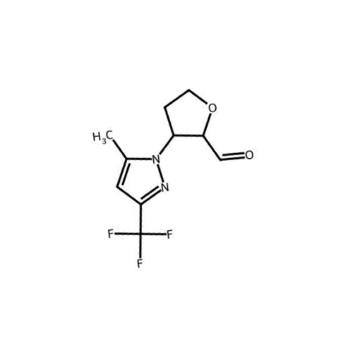 Cc1cc(C(F)(F)F)nn1C1CCOC1C=O